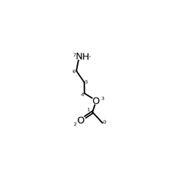 CC(=O)OCCC[NH]